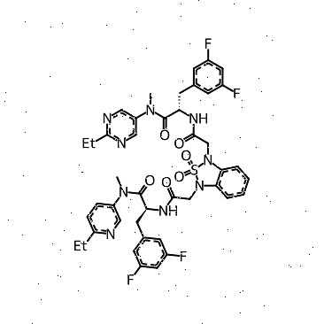 CCc1ccc(N(C)C(=O)[C@H](Cc2cc(F)cc(F)c2)NC(=O)CN2c3ccccc3N(CC(=O)N[C@@H](Cc3cc(F)cc(F)c3)C(=O)N(C)c3cnc(CC)nc3)S2(=O)=O)cn1